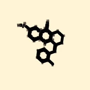 Cc1ccccc1/C=C1/CCCc2c1nc1ccc(C(=O)O)cn1c2=O